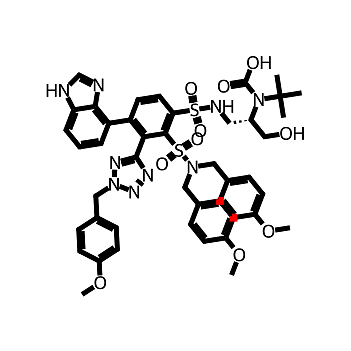 COc1ccc(CN(Cc2ccc(OC)cc2)S(=O)(=O)c2c(S(=O)(=O)NC[C@@H](CO)N(C(=O)O)C(C)(C)C)ccc(-c3cccc4[nH]cnc34)c2-c2nnn(Cc3ccc(OC)cc3)n2)cc1